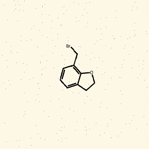 BrCc1cccc2c1OCC2